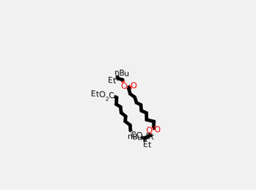 CCCCC(CC)COC(=O)CCCCCCCCC(=O)OCC(CC)CCCC.CCOC(=O)CCCCCCCCC(=O)OCC